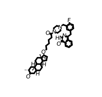 C[C@@H]1C[C@@]2(C)[C@@H](CC[C@@H]3[C@@H]2CC[C@]2(C)[C@@H](OCCCCCC(=O)N4CCN(Cc5cc(Cc6n[nH]c(=O)c7ccccc67)ccc5F)CC4)CC[C@@H]32)CC1=O